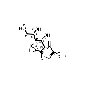 CC(=O)N[C@H](C(=O)O)[C@@H](O)[C@H](O)[C@H](O)CO